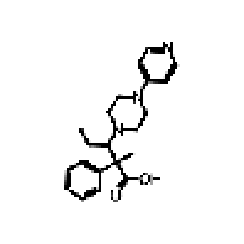 CCC(N1CCN(c2ccncc2)CC1)C(C)(C(=O)O)c1ccccc1